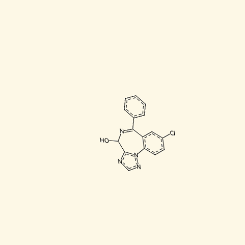 OC1N=C(c2ccccc2)c2cc(Cl)ccc2-n2ncnc21